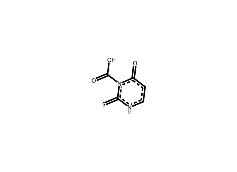 O=C(O)n1c(=O)cc[nH]c1=S